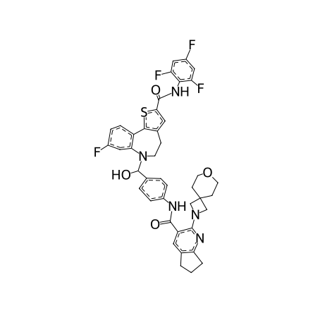 O=C(Nc1c(F)cc(F)cc1F)c1cc2c(s1)-c1ccc(F)cc1N(C(O)c1ccc(NC(=O)c3cc4c(nc3N3CC5(CCOCC5)C3)CCC4)cc1)CC2